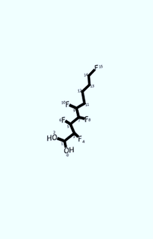 OC(O)C(F)C(F)C(F)C(F)CCCCF